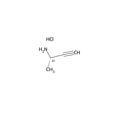 C#C[C@H](C)N.Cl